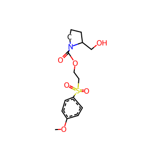 COc1ccc(S(=O)(=O)CCOC(=O)N2CCCC2CO)cc1